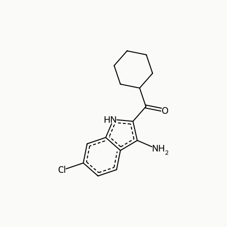 Nc1c(C(=O)C2CCCCC2)[nH]c2cc(Cl)ccc12